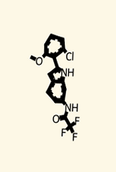 COc1cccc(Cl)c1-c1cc2ccc(NC(=O)C(F)(F)F)cc2[nH]1